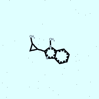 CC1CC1c1nc2ccccc2n1C